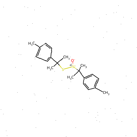 Cc1ccc(C(C)(C)S[S@+]([O-])C(C)(C)c2ccc(C)cc2)cc1